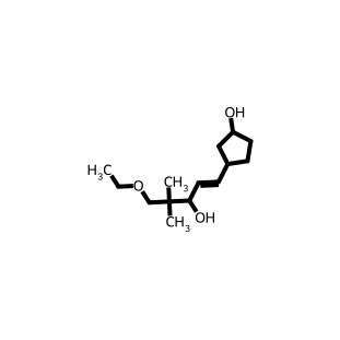 CCOCC(C)(C)C(O)C=CC1CCC(O)C1